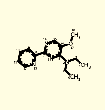 CCN(CC)c1nc(-c2ccccn2)ncc1OC